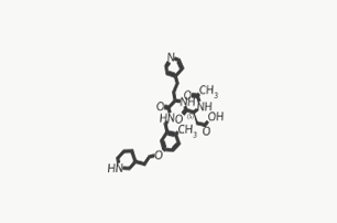 CC(=O)N[C@@H](CC(=O)O)C(=O)NC(CCc1ccncc1)C(=O)NCc1cc(OCCC2CCCNC2)ccc1C